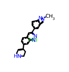 Cl.Cn1cc2cc(-c3cc4ccc(C5=CCNCC5)cc4nn3)ccc2n1